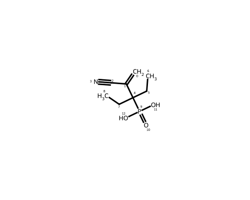 C=C(C#N)C(CC)(CC)P(=O)(O)O